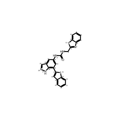 O=C(NCc1nc2ccccc2s1)Nc1cc(-c2cc3ccccc3s2)c2[nH]ncc2c1